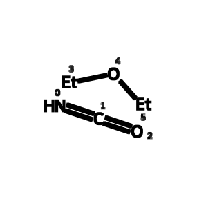 N=C=O.[CH2]COCC